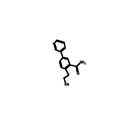 N#C[CH]Cc1ccc(-c2cccnc2)cc1C(N)=O